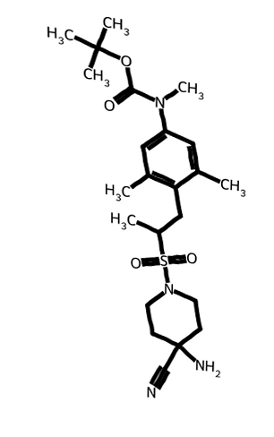 Cc1cc(N(C)C(=O)OC(C)(C)C)cc(C)c1CC(C)S(=O)(=O)N1CCC(N)(C#N)CC1